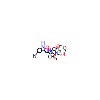 Cc1[nH]c(/C=C2\C(=O)Nc3ccc(C#N)cc32)c(C)c1C(=O)N1CCOCCOCCOCC1